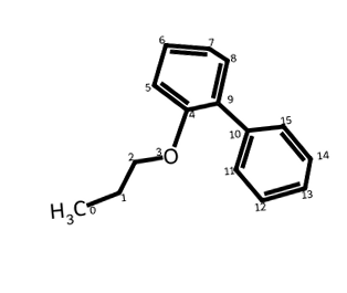 CCCOc1ccccc1-c1ccccc1